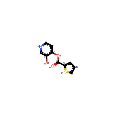 O=C(Oc1c[c]ncc1Br)c1cccs1